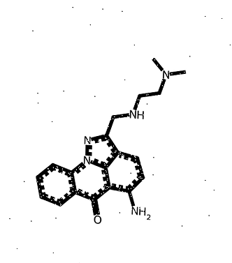 CN(C)CCNCc1nn2c3ccccc3c(=O)c3c(N)ccc1c32